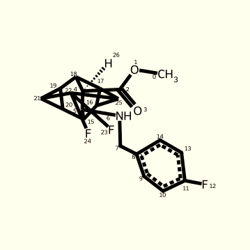 COC(=O)[C@H]1C(NCc2ccc(F)cc2)C2C3C4C1C1C2C1C(F)(F)C34